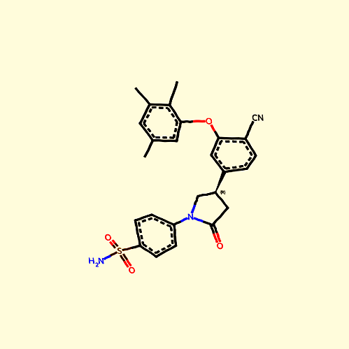 Cc1cc(C)c(C)c(Oc2cc([C@H]3CC(=O)N(c4ccc(S(N)(=O)=O)cc4)C3)ccc2C#N)c1